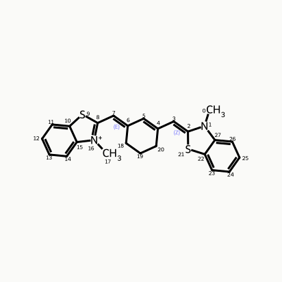 CN1/C(=C/C2=CC(=C/c3sc4ccccc4[n+]3C)/CCC2)Sc2ccccc21